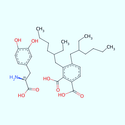 CCCCC(CC)Cc1ccc(C(=O)O)c(C(=O)O)c1CC(CC)CCCC.N[C@@H](Cc1ccc(O)c(O)c1)C(=O)O